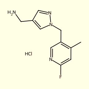 Cc1cc(F)ncc1Cn1cc(CN)cn1.Cl